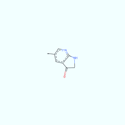 Cc1cnc2c(c1)C(=O)CN2